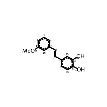 COc1cccc(C=Cc2ccc(O)c(O)c2)c1